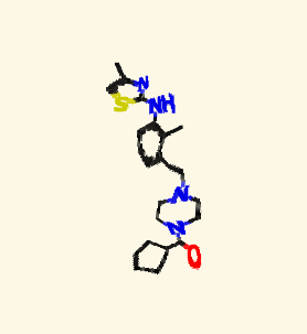 Cc1csc(Nc2cccc(CN3CCN(C(=O)C4CCCC4)CC3)c2C)n1